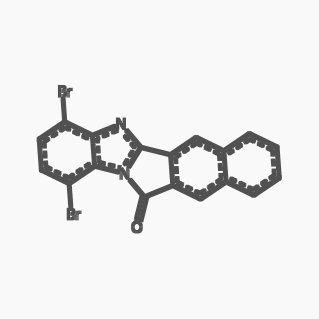 O=C1c2cc3ccccc3cc2-c2nc3c(Br)ccc(Br)c3n21